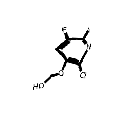 OCOc1cc(F)c(I)nc1Cl